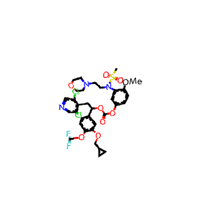 COc1ccc(OC(=O)OC(Cc2c(Cl)cncc2Cl)c2ccc(OC(F)F)c(OCC3CC3)c2)cc1N(CCN1CCOCC1)S(C)(=O)=O